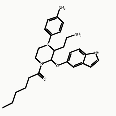 CCCCCC(=O)N1CCN(c2ccc(N)cc2)C(CCN)C1Oc1ccc2[nH]ccc2c1